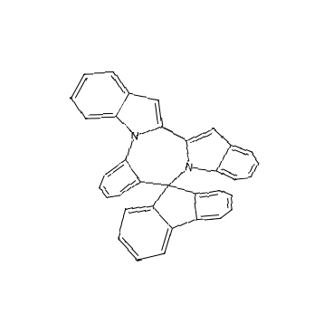 c1ccc2c(c1)-c1ccccc1C21c2ccccc2-n2c(cc3ccccc32)-c2cc3ccccc3n21